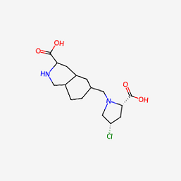 O=C(O)C1CC2CC(CN3C[C@@H](Cl)C[C@H]3C(=O)O)CCC2CN1